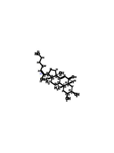 C[C@]12C[C@H](O)[C@H](O)C[C@H]1C(=O)C=C1C2CC[C@]2(C)[C@@H](/C(O)=C\SCCO)CC[C@@]12O